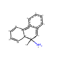 CC1(N)C=c2ccccc2=C2C=CC=CC21